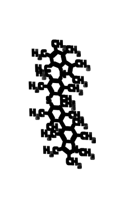 Cc1c(C)c(-c2c(C)c(C)c3c(c2C)c(C)c(C)n3C)c(C)c(C)c1Sc1c(C)c(C)c(-n2c(C)c(C)c3c(C)c(C)c(C)c(C)c32)c(C)c1C